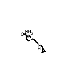 NC(=O)c1ccn(CCCNCC2CC2)n1